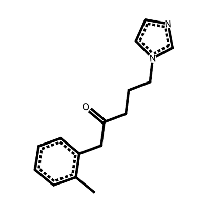 Cc1ccccc1CC(=O)CCCn1ccnc1